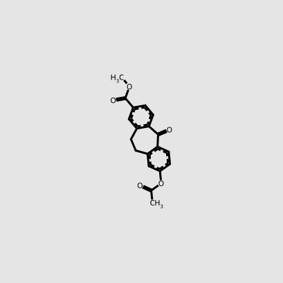 COC(=O)c1ccc2c(c1)CCc1cc(OC(C)=O)ccc1C2=O